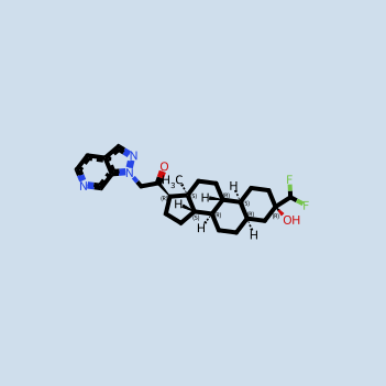 C[C@]12CC[C@H]3[C@@H](CC[C@@H]4C[C@@](O)(C(F)F)CC[C@@H]43)[C@@H]1CC[C@H]2C(=O)Cn1ncc2ccncc21